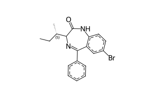 CC[C@H](C)C1N=C(c2ccccc2)c2cc(Br)ccc2NC1=O